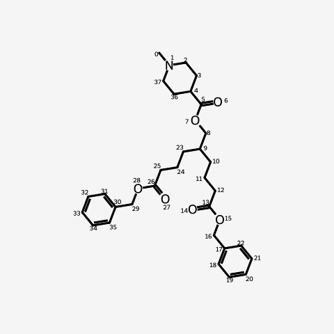 CN1CCC(C(=O)OCC(CCCC(=O)OCc2ccccc2)CCCC(=O)OCc2ccccc2)CC1